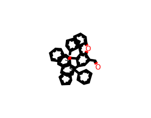 O=Cc1cc([Si](c2ccccc2)(c2ccccc2)c2ccccc2)c([Si](c2ccccc2)(c2ccccc2)c2ccccc2)c2c1oc1ccccc12